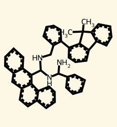 CC1(C)c2ccccc2-c2cccc(-c3ccccc3CNC(NC(N)c3ccccc3)c3c4ccccc4cc4ccc5ccccc5c34)c21